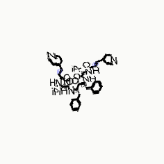 CC(C)[C@H](NC(=O)/C=C/c1ccncc1)C(=O)N[C@@H](Cc1ccccc1)C(O)[C@H](Cc1ccccc1)NC(=O)[C@@H](NC(=O)/C=C/c1ccncc1)C(C)C